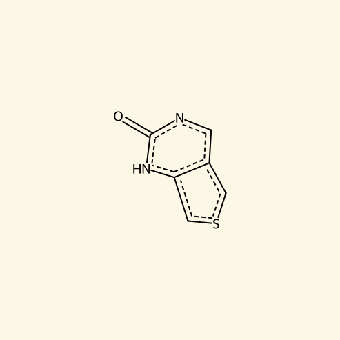 O=c1ncc2cscc2[nH]1